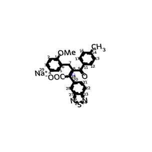 COc1ccccc1C/C(C(=O)c1ccc(C)cc1)=C(\C(=O)[O-])c1ccc2nsnc2c1.[Na+]